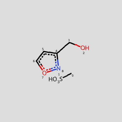 CS(=O)(=O)O.OCc1ccon1